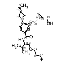 COC1CN(c2ccc(C(=O)NC(COCCCF)C(C)C)nc2OC[C@@H]2C[C@@H]2CO)C1